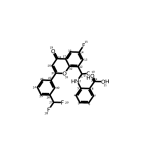 CC(Nc1ccccc1C(=O)O)c1cc(F)cc2c(=O)cc(-c3cccc(C(F)F)c3)oc12